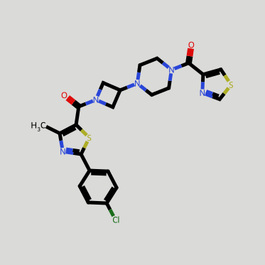 Cc1nc(-c2ccc(Cl)cc2)sc1C(=O)N1CC(N2CCN(C(=O)c3cscn3)CC2)C1